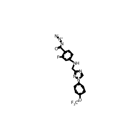 [N-]=[N+]=NC(=O)c1ccc(NCc2ncn(-c3ccc(OC(F)(F)F)cc3)n2)cc1F